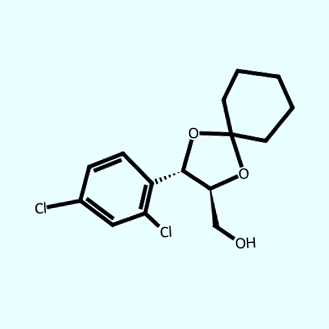 OC[C@@H]1OC2(CCCCC2)O[C@H]1c1ccc(Cl)cc1Cl